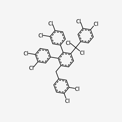 Clc1ccc(Cc2ccc(C(Cl)(Cl)c3ccc(Cl)c(Cl)c3)c(-c3ccc(Cl)c(Cl)c3)c2-c2ccc(Cl)c(Cl)c2)cc1Cl